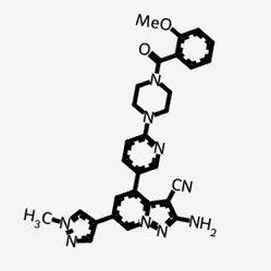 COc1ccccc1C(=O)N1CCN(c2ccc(-c3cc(-c4cnn(C)c4)cn4nc(N)c(C#N)c34)cn2)CC1